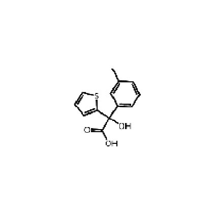 Cc1cccc(C(O)(C(=O)O)c2cccs2)c1